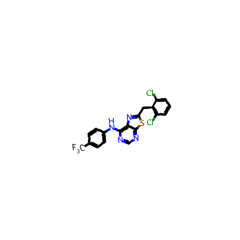 FC(F)(F)c1ccc(Nc2ncnc3sc(Cc4c(Cl)cccc4Cl)nc23)cc1